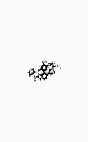 CCOC(C)n1cc(-c2ccn3nc(N[C@H]4CCOC[C@H]4F)nc3c2-c2cc(C)c(C#N)cc2F)cn1